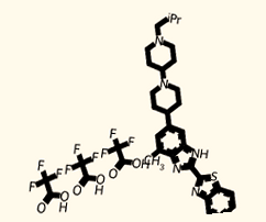 Cc1cc(C2CCN(C3CCN(CC(C)C)CC3)CC2)cc2[nH]c(-c3nc4ccccc4s3)nc12.O=C(O)C(F)(F)F.O=C(O)C(F)(F)F.O=C(O)C(F)(F)F